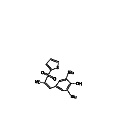 CC(C)(C)c1cc(C=C(C#N)S(=O)(=O)c2cccs2)cc(C(C)(C)C)c1O